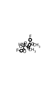 COc1cc2c(cc1-c1ccc(F)cc1)c(C1=C(c3coc4ccc(F)cc34)C(=O)NC1=O)cn2C